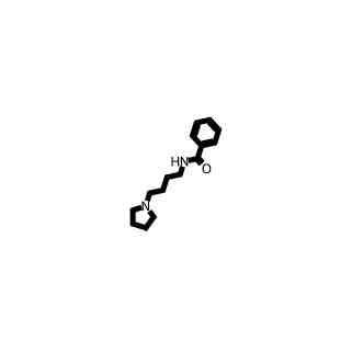 O=C(NCCCCN1C[CH]CC1)c1ccccc1